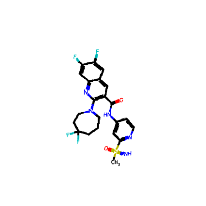 CS(=N)(=O)c1cc(NC(=O)c2cc3cc(F)c(F)cc3nc2N2CCCC(F)(F)CC2)ccn1